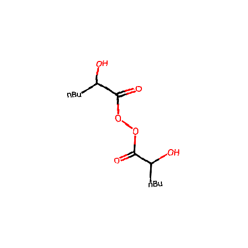 CCCCC(O)C(=O)OOC(=O)C(O)CCCC